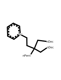 CCCCCCCCCCCC(CCCCC)(CCCCCCCCCCC)CC[n+]1ccccc1